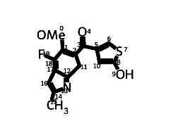 COC1=C(C(=O)c2csc(O)c2)CC2=NC(C)=[C]C2=C1F